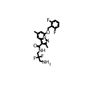 Cc1cc(OCc2c(F)cccc2F)n2nc(C)c(C(=O)NCC(F)(F)CN)c2c1